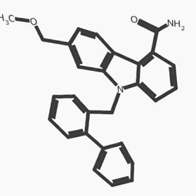 COCc1c[c]c2c3c(C(N)=O)cccc3n(Cc3ccccc3-c3ccccc3)c2c1